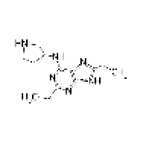 CCc1nc(NC2CCNC2)c2nc(CC)[nH]c2n1